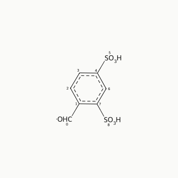 O=[C]c1ccc(S(=O)(=O)O)cc1S(=O)(=O)O